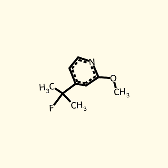 COc1cc(C(C)(C)F)ccn1